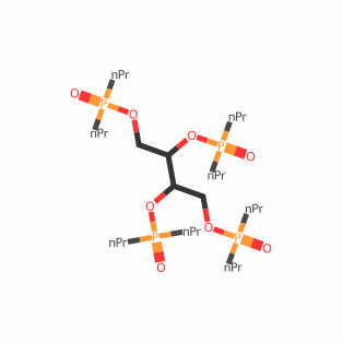 CCCP(=O)(CCC)OCC(OP(=O)(CCC)CCC)C(COP(=O)(CCC)CCC)OP(=O)(CCC)CCC